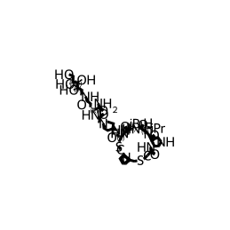 CC[C@H](C)[C@@H]1NC(=O)[C@H](CC(C)C)NC(=O)C2(CCNCC2)NC(=O)CCSCc2cccc(n2)CSC[C@@H](C(=O)NC2CCN(CC(=O)N[C@H](CCC(=O)NCC[C@@H](O)[C@H](O)[C@H](O)CO)C(N)=O)CC2)NC1=O